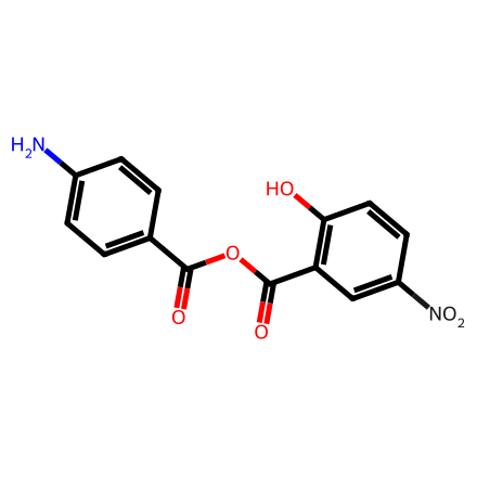 Nc1ccc(C(=O)OC(=O)c2cc([N+](=O)[O-])ccc2O)cc1